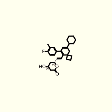 Cc1cc(C2=C(C=C[C@H]3C[C@H](O)CC(=O)O3)C3(CCC3)CC(C3CCCCC3)=C2)ccc1F